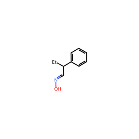 CCC(/C=N/O)c1ccccc1